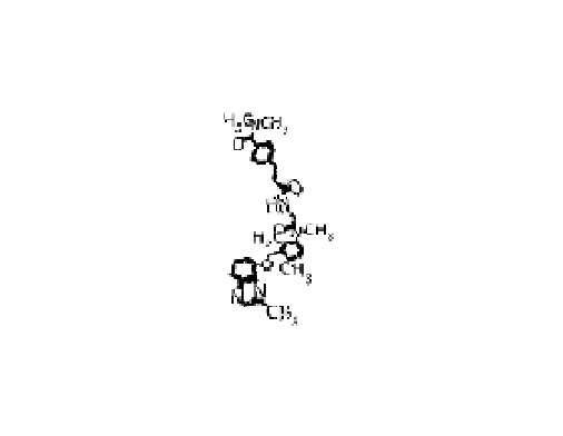 Cc1cnc2cccc(OCc3c(C)ccc(N(C)C(=O)CNC(=O)C=Cc4ccc(C(=O)N(C)C)cc4)c3C)c2n1